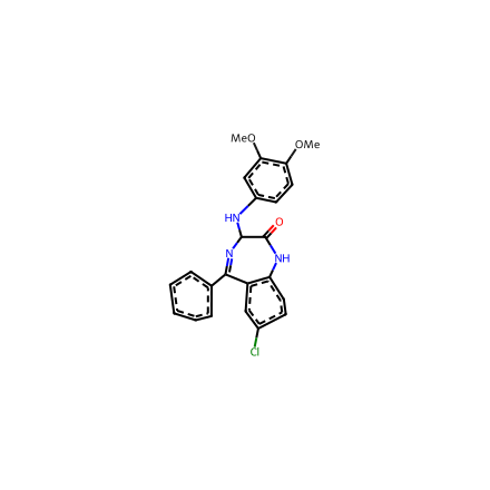 COc1ccc(NC2N=C(c3ccccc3)c3cc(Cl)ccc3NC2=O)cc1OC